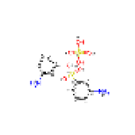 Nc1cccc(OS(=O)(=O)c2cccc(N)c2)c1.O=S(=O)(O)O